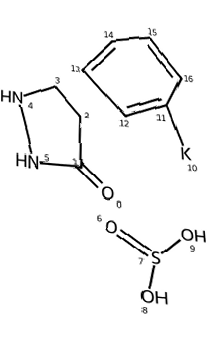 O=C1CCNN1.O=S(O)O.[K][c]1ccccc1